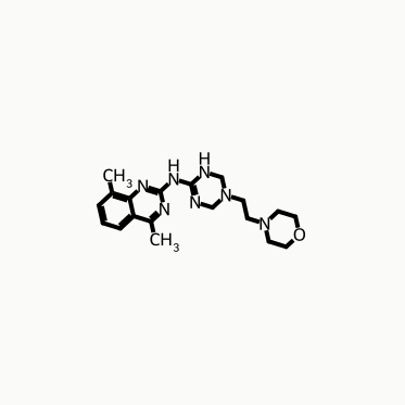 Cc1nc(NC2=NCN(CCN3CCOCC3)CN2)nc2c(C)cccc12